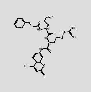 Cc1cc(=O)oc2cc(NC(=O)[C@H](CCCNC(=N)N)NC(=O)[C@H](CCC(=O)O)NC(=O)OCc3ccccc3)ccc12